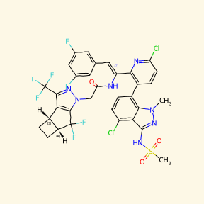 Cn1nc(NS(C)(=O)=O)c2c(Cl)ccc(-c3ccc(Cl)nc3/C(=C/c3cc(F)cc(F)c3)NC(=O)Cn3nc(C(F)(F)F)c4c3C(F)(F)[C@@H]3CC[C@H]43)c21